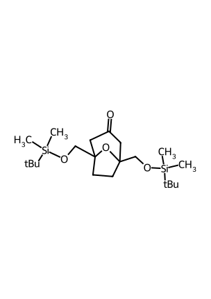 CC(C)(C)[Si](C)(C)OCC12CCC(CO[Si](C)(C)C(C)(C)C)(CC(=O)C1)O2